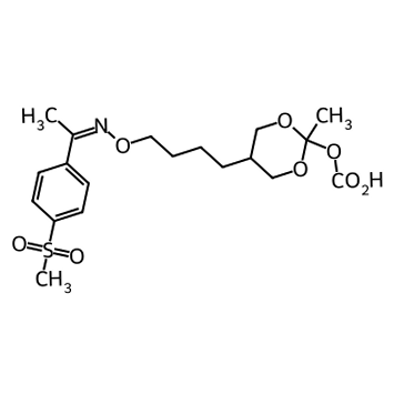 CC(=NOCCCCC1COC(C)(OC(=O)O)OC1)c1ccc(S(C)(=O)=O)cc1